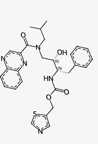 CC(C)CN(C[C@H](O)[C@H](Cc1ccccc1)NC(=O)OCc1cncs1)C(=O)c1cnc2ccccc2n1